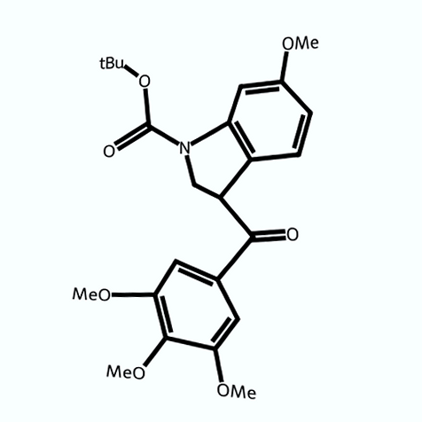 COc1ccc2c(c1)N(C(=O)OC(C)(C)C)CC2C(=O)c1cc(OC)c(OC)c(OC)c1